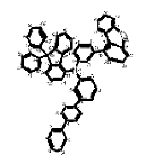 c1ccc(-c2ccc(-c3cccc(N(c4cccc(-c5cccc6oc7ccccc7c56)c4)c4cccc5c4-c4ccccc4C5(c4ccccc4)c4ccccc4)c3)cc2)cc1